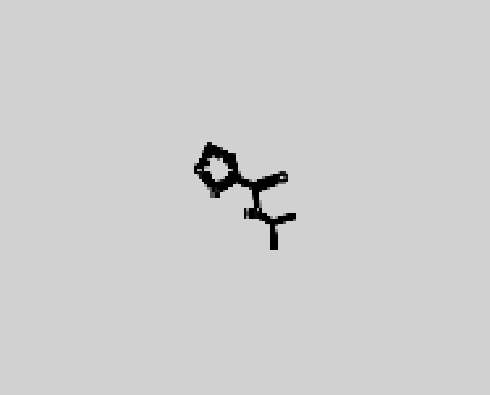 CC(C)NC(=O)c1c[c]on1